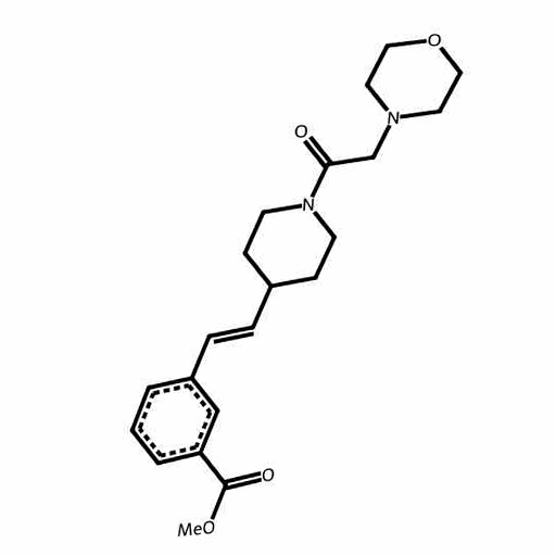 COC(=O)c1cccc(C=CC2CCN(C(=O)CN3CCOCC3)CC2)c1